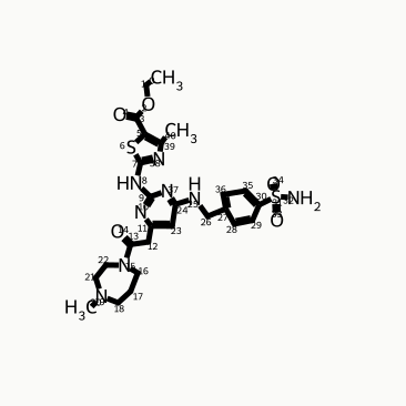 CCOC(=O)c1sc(Nc2nc(CC(=O)N3CCCN(C)CC3)cc(NCc3ccc(S(N)(=O)=O)cc3)n2)nc1C